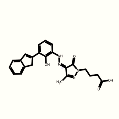 CC1=NN(CCCC(=O)O)C(=O)/C1=N\Nc1cccc(C2=Cc3ccccc3C2)c1O